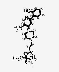 CC(C)(C)OC(=O)CCN1CCN(c2cc(-c3ccccc3O)nnc2N)CC1